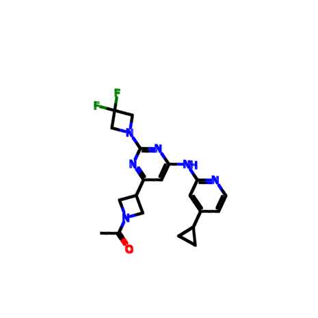 CC(=O)N1CC(c2cc(Nc3cc(C4CC4)ccn3)nc(N3CC(F)(F)C3)n2)C1